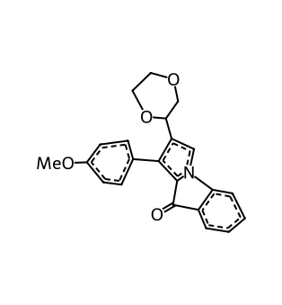 COc1ccc(-c2c(C3COCCO3)cn3c2C(=O)c2ccccc2-3)cc1